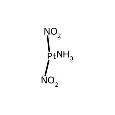 N.O=[N+]([O-])[Pt][N+](=O)[O-]